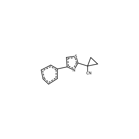 N#CC1(c2nc(-c3ccccc3)cs2)CC1